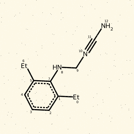 CCc1cccc(CC)c1NC[N+]#CN